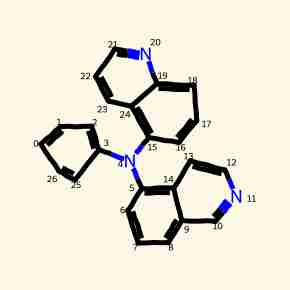 c1ccc(N(c2cccc3cnccc23)c2cccc3ncccc23)cc1